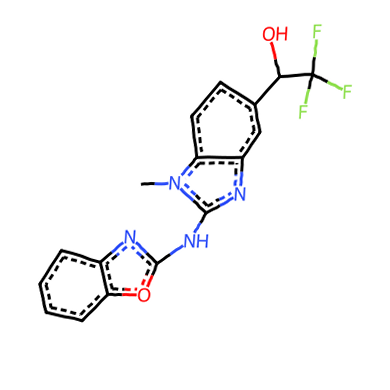 Cn1c(Nc2nc3ccccc3o2)nc2cc(C(O)C(F)(F)F)ccc21